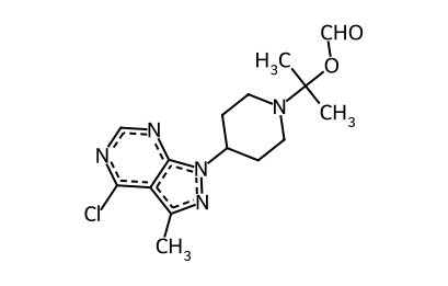 Cc1nn(C2CCN(C(C)(C)OC=O)CC2)c2ncnc(Cl)c12